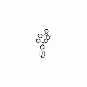 c1ccc(N(c2ccc(C34CC5CC6CC(C3)C54C6)cc2)c2ccc3ccc4c5ccccc5n(-c5ccccc5)c4c3c2)cc1